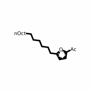 CCCCCCCCCCCCCCc1ccc(C(C)=O)o1